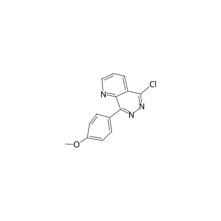 COc1ccc(-c2nnc(Cl)c3cccnc23)cc1